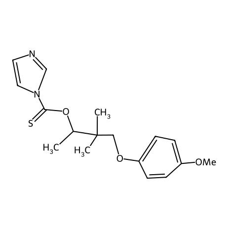 COc1ccc(OCC(C)(C)C(C)OC(=S)n2ccnc2)cc1